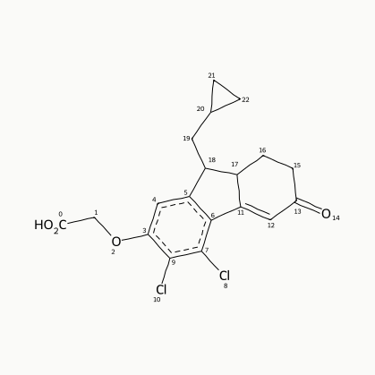 O=C(O)COc1cc2c(c(Cl)c1Cl)C1=CC(=O)CCC1C2CC1CC1